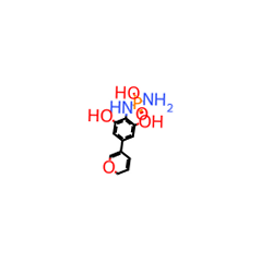 NP(=O)(O)Nc1c(O)cc(C2=COCC=C2)cc1O